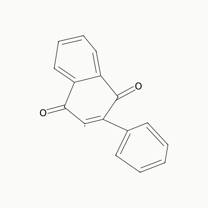 O=C1[C]=C(c2ccccc2)C(=O)c2ccccc21